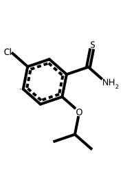 CC(C)Oc1c[c]c(Cl)cc1C(N)=S